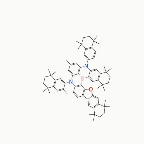 Cc1cc2c3c(c1)N(c1cc4c(cc1C)C(C)(C)CCC4(C)C)c1ccc4c(oc5cc6c(cc54)C(C)(C)CCC6(C)C)c1B3c1cc3c(cc1N2c1ccc2c(c1)C(C)(C)CCC2(C)C)C(C)(C)CCC3(C)C